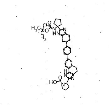 CC(C)(C)OC(=O)NC1(c2nc3ccc(-c4ccc(-c5ccc6c(c5)CCc5nc(C7CCCN7C(=O)O)[nH]c5-6)cc4)cc3[nH]2)CCCC1